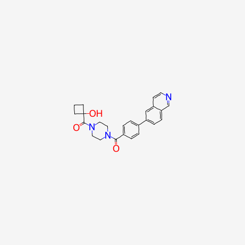 O=C(c1ccc(-c2ccc3cnccc3c2)cc1)N1CCN(C(=O)C2(O)CCC2)CC1